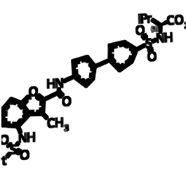 CCS(=O)(=O)Nc1cccc2oc(C(=O)Nc3ccc(-c4ccc(S(=O)(=O)N[C@H](C(=O)O)C(C)C)cc4)cc3)c(C)c12